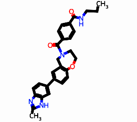 CCCNC(=O)c1ccc(C(=O)N2CCOc3ccc(-c4ccc5nc(C)[nH]c5c4)cc3C2)cc1